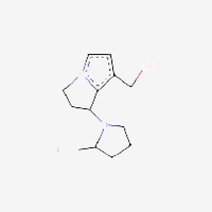 O=C(O)C1CCCN1C1CCn2ccc(CO)c21